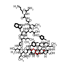 CC[C@H](C)[C@H](NC(=O)[C@H](Cc1c[nH]c2ccccc12)NC(=O)[C@H](CCC(=O)O)NC(=O)[C@H](CC(C)C)NC(=O)CNC(=O)[C@H](CCCCN)NC(=O)CN)C(=O)NCC(=O)N[C@H](C(=O)N[C@H](C(=O)N[C@@H](CO)C(=O)N[C@@H](CO)C(=O)NCC(=O)NCC(=O)N[C@@H](CO)C(=O)N[C@H](C(=O)N[C@@H](Cc1ccc(O)cc1)C(=O)N[C@@H](Cc1ccc(O)cc1)C(=O)N[C@@H](C)C(=O)N[C@@H](CO)C(=O)O)[C@@H](C)O)[C@@H](C)CC)[C@@H](C)O